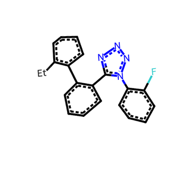 CCc1ccccc1-c1ccccc1-c1nnnn1-c1ccccc1F